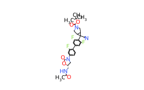 CC(=O)NC[C@H]1CN(c2ccc(-c3cc(F)c(C4(C#N)C5CN(C(=O)OC(C)(C)C)CC54)c(F)c3)c(F)c2)C(=O)O1